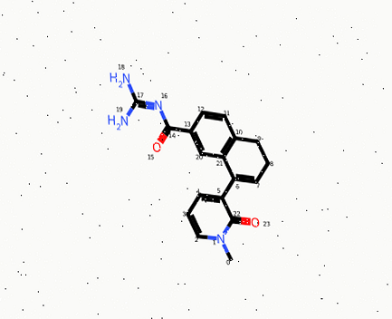 Cn1cccc(C2=CCCc3ccc(C(=O)N=C(N)N)cc32)c1=O